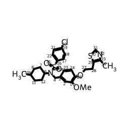 COc1cc(CN(C2CCC(C)CC2)S(=O)(=O)c2ccc(Cl)cc2)ccc1OCCc1scnc1C